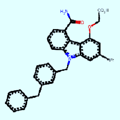 CC(C)c1cc(OCC(=O)O)c2c3c(C(N)=O)cccc3n(Cc3cccc(Cc4ccccc4)c3)c2c1